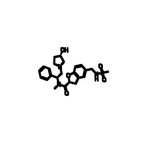 CN(C(=O)[C@@H]1Cc2cc(CNS(C)(=O)=O)ccc2O1)[C@H](CN1CC[C@H](O)C1)c1ccccc1